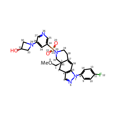 COC[C@]12Cc3cnn(-c4ccc(F)cc4)c3C=C1CCN(S(=O)(=O)c1cncc(N3CC(O)C3)c1)C2